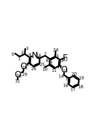 CCC(C)c1nc(Cc2c(C)cc(OCc3ccccc3)c(F)c2C)ccc1OCOC